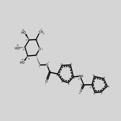 CC1O[C@H](COC(=O)c2ccc(NC(=O)c3ccccc3)cc2)[C@@H](O)[C@H](O)[C@H]1O